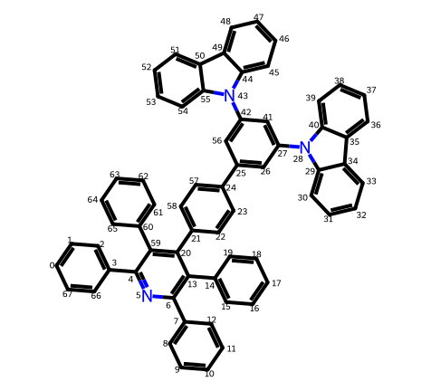 c1ccc(-c2nc(-c3ccccc3)c(-c3ccccc3)c(-c3ccc(-c4cc(-n5c6ccccc6c6ccccc65)cc(-n5c6ccccc6c6ccccc65)c4)cc3)c2-c2ccccc2)cc1